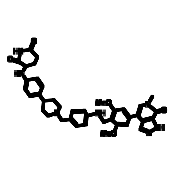 COc1cc(-c2cn(C)c(=O)c3[nH]ncc23)cc(OC)c1CNc1ccc(CN2CCC(c3ccc(NC4CCC(=O)NC4=O)cc3)CC2)cc1